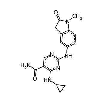 CN1C(=O)Cc2cc(Nc3ncc(C(N)=O)c(NC4CC4)n3)ccc21